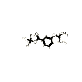 CC(C)Oc1cccc(C(=O)OC(F)(F)F)c1